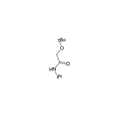 CC(C)NC(=O)COC(C)(C)C